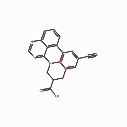 N#Cc1cccc(-c2cccc3ncnc(N4CCCC(C(=O)O)C4)c23)c1